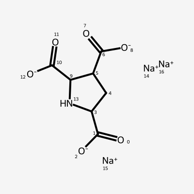 O=C([O-])C1CC(C(=O)[O-])C(C(=O)[O-])N1.[Na+].[Na+].[Na+]